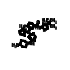 Cc1ccc(C(=O)Nc2nc(C(C)(C)C)cs2)cc1N(c1cc(NN2CCN(C)CC2)ncn1)c1ncc[nH]1